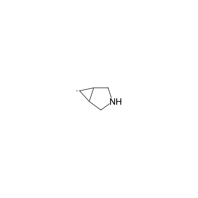 [CH]1C2CNCC12